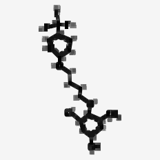 Cc1cc(O)cc(Cl)c1OCCCCOc1ccc(C(F)(F)F)cn1